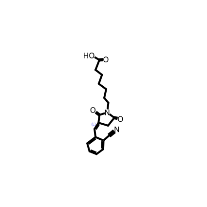 N#Cc1ccccc1/C=C1\CC(=O)N(CCCCCCC(=O)O)C1=O